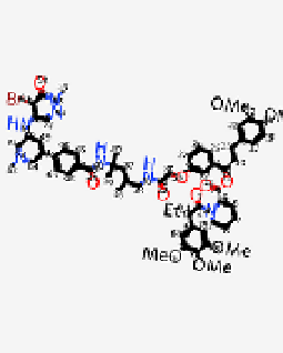 CC[C@H](C(=O)N1CCCC[C@H]1C(=O)O[C@H](CCc1ccc(OC)c(OC)c1)c1cccc(OCC(=O)NCC(C)CC(C)(C)NC(=O)c2ccc([C@H]3C[C@@H](Nc4cnn(C)c(=O)c4Br)CN(C)C3)cc2)c1)c1cc(OC)c(OC)c(OC)c1